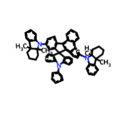 CC12CCCCC1(C)N(c1ccc3c(c1)C1(c4ccccc4N(c4ccccc4)c4ccccc41)c1c-3c3ccccc3c3cc(N4c5ccccc5C5(C)CCCCC45C)ccc13)c1ccccc12